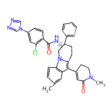 Cc1ccc2c(c1)c(C1=CC(=O)N(C)CC1)c1n2C[C@@](NC(=O)c2ccc(-n3cnnc3)cc2Cl)(c2ccccc2)CC1